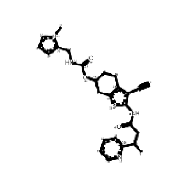 C#Cc1c(NC(=O)CC(C)c2ccccn2)sc2c1CCC(OC(=O)NCc1cccn1C)C2